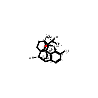 CO[C@]12CCC3(C[C@@H]1[C@](C)(O)C(C)(C)C)[C@H]1Cc4ccc(O)c5c4C3(CCN1)[C@H]2O5